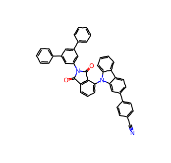 N#Cc1ccc(-c2ccc3c4ccccc4n(-c4cccc5c4C(=O)N(c4cc(-c6ccccc6)cc(-c6ccccc6)c4)C5=O)c3c2)cc1